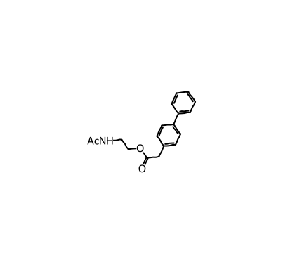 CC(=O)NCCOC(=O)Cc1ccc(-c2ccccc2)cc1